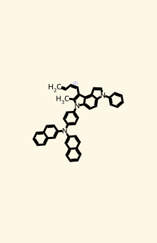 C=C/C=C\c1c(C)n(-c2ccc(N(c3ccc4ccccc4c3)c3ccc4ccccc4c3)cc2)c2ccc3c(ccn3-c3ccccc3)c12